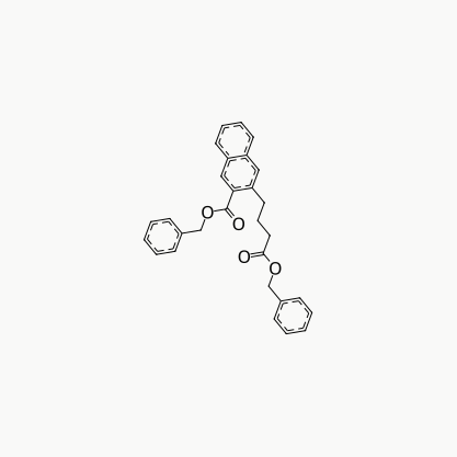 O=C(CCCc1cc2ccccc2cc1C(=O)OCc1ccccc1)OCc1ccccc1